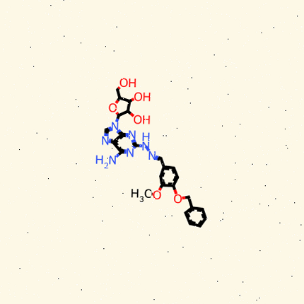 COc1cc(/C=N/Nc2nc(N)c3ncn(C4OC(CO)C(O)C4O)c3n2)ccc1OCc1ccccc1